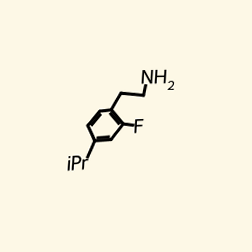 CC(C)c1ccc(CCN)c(F)c1